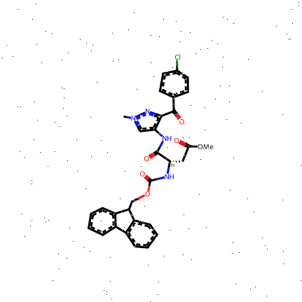 COC(=O)C[C@H](NC(=O)OCC1c2ccccc2-c2ccccc21)C(=O)Nc1cn(C)nc1C(=O)c1ccc(Cl)cc1